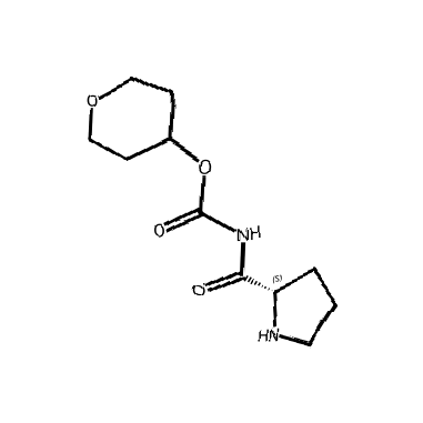 O=C(NC(=O)[C@@H]1CCCN1)OC1CCOCC1